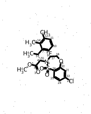 COC(=O)[C@H](C(C)c1c(F)ccc(C)c1C)N1CCOc2cc(Cl)ccc2S1(=O)=O